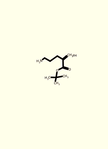 C=C(CCCN)C(=O)OC(C)(C)C.F